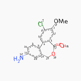 COc1cc2c(cc1Cl)-c1ccc(N)cc1COC2=O